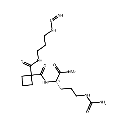 CNC(=O)[C@H](CCCNC(N)=O)NC(=O)C1(C(=O)NCCCNN=N)CCC1